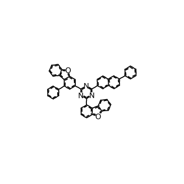 c1ccc(-c2ccc3cc(-c4nc(-c5cc(-c6ccccc6)c6c(c5)oc5ccccc56)nc(-c5cccc6oc7ccccc7c56)n4)ccc3c2)cc1